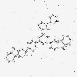 c1cncc(-c2cccc(-c3nc(-c4ccc(-c5ccc6c(c5)oc5ccccc56)cc4)cc(-c4ccc5sc6ccccc6c5c4)n3)c2)c1